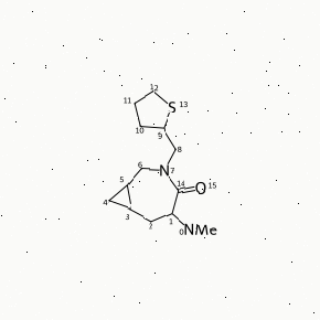 CNC1CC2CC2CN(CC2CCCS2)C1=O